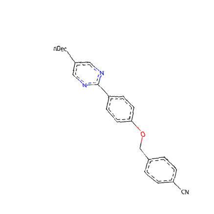 CCCCCCCCCCc1cnc(-c2ccc(OCc3ccc(C#N)cc3)cc2)nc1